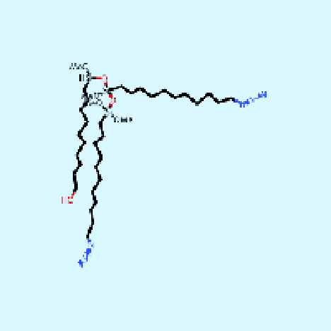 CO[SiH](CCCCCCCCCCO)O[Si](CCCCCCCCCCCN=[N+]=[N-])(OC)O[Si](CCCCCCCCCCCN=[N+]=[N-])(OC)OC